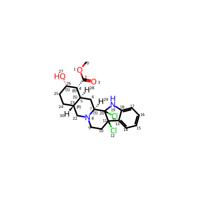 COC(=O)[C@@H]1[C@H]2C[C@@H]3N(CCC4(Cl)c5ccccc5NC34Cl)C[C@@H]2CC[C@@H]1O